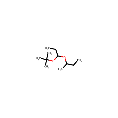 CCC(C)OC(CC)OC(C)(C)C